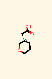 O=C(O)C[C@@H]1CCCOC1